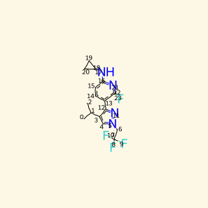 CC(C)c1cn(CC(F)(F)F)nc1-c1ccc(NC2CC2)nc1F